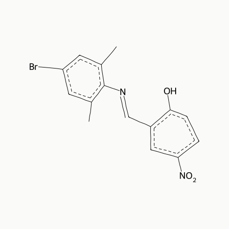 Cc1cc(Br)cc(C)c1/N=C/c1cc([N+](=O)[O-])ccc1O